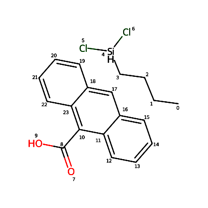 CCCC[SiH](Cl)Cl.O=C(O)c1c2ccccc2cc2ccccc12